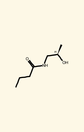 CCCC(=O)NC[C@@H](C)O